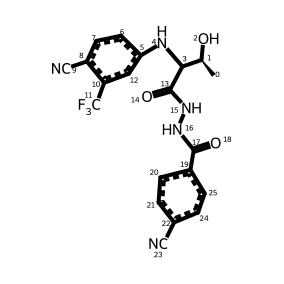 C[C@H](O)C(Nc1ccc(C#N)c(C(F)(F)F)c1)C(=O)NNC(=O)c1ccc(C#N)cc1